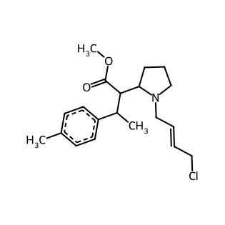 COC(=O)C(C(C)c1ccc(C)cc1)C1CCCN1C/C=C/CCl